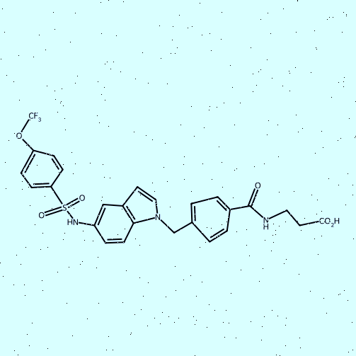 O=C(O)CCNC(=O)c1ccc(Cn2ccc3cc(NS(=O)(=O)c4ccc(OC(F)(F)F)cc4)ccc32)cc1